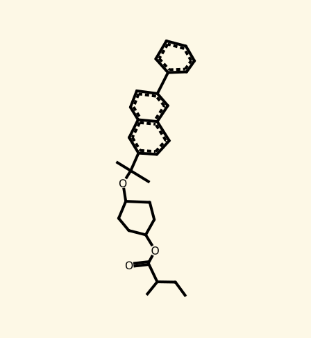 CCC(C)C(=O)OC1CCC(OC(C)(C)c2ccc3cc(-c4ccccc4)ccc3c2)CC1